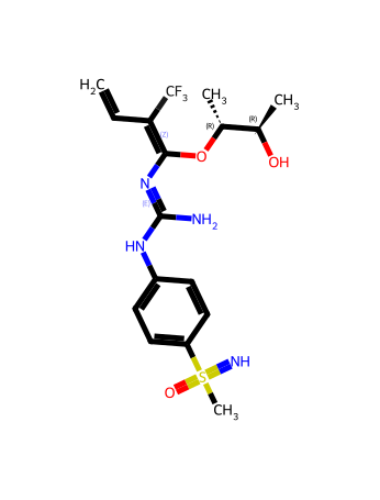 C=C/C(=C(\N=C(/N)Nc1ccc(S(C)(=N)=O)cc1)O[C@H](C)[C@@H](C)O)C(F)(F)F